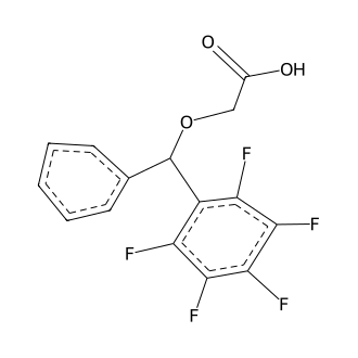 O=C(O)COC(c1ccccc1)c1c(F)c(F)c(F)c(F)c1F